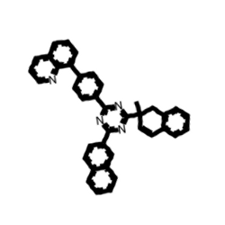 CC1(c2nc(-c3ccc(-c4cccc5cccnc45)cc3)nc(-c3ccc4ccccc4c3)n2)C=Cc2ccccc2C1